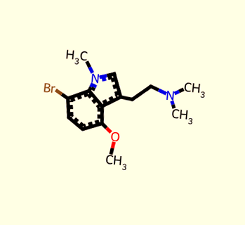 COc1ccc(Br)c2c1c(CCN(C)C)cn2C